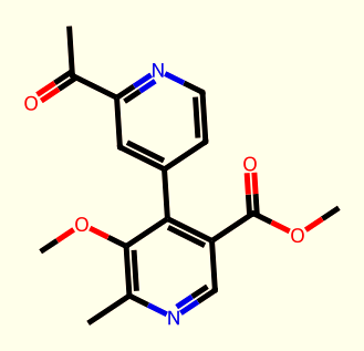 COC(=O)c1cnc(C)c(OC)c1-c1ccnc(C(C)=O)c1